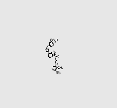 Cc1cccc(OCCOC(=O)N2CCSc3c(-c4cnn(Cc5cccc(C(=O)O)c5)c4)cccc32)c1C